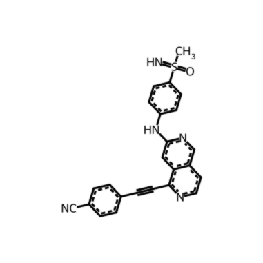 CS(=N)(=O)c1ccc(Nc2cc3c(C#Cc4ccc(C#N)cc4)nccc3cn2)cc1